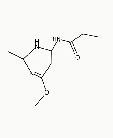 CCC(=O)NC1=CC(OC)=NC(C)N1